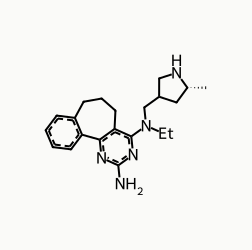 CCN(CC1CN[C@H](C)C1)c1nc(N)nc2c1CCCc1ccccc1-2